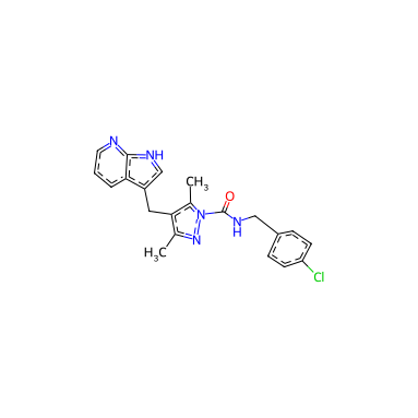 Cc1nn(C(=O)NCc2ccc(Cl)cc2)c(C)c1Cc1c[nH]c2ncccc12